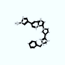 Cn1cc(-c2cnn3c(N4CCC(c5ncn(Cc6ccccc6)n5)C4)cnc3c2)cn1